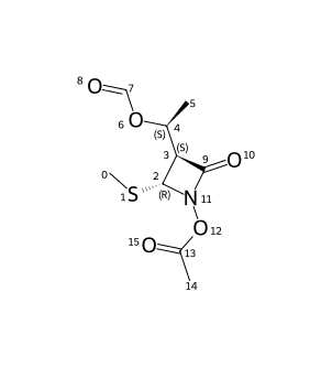 CS[C@@H]1[C@@H]([C@H](C)OC=O)C(=O)N1OC(C)=O